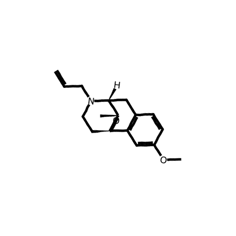 C=CCN1CC[C@]23CCCO[C@@]2(C)[C@H]1Cc1ccc(OC)cc13